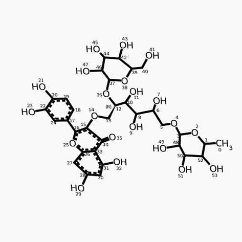 CC1OC(OCC(O)C(O)C(O)[C@@H](COc2c(-c3ccc(O)c(O)c3)oc3cc(O)cc(O)c3c2=O)OC2OC(CO)C(O)C(O)C2O)C(O)C(O)C1O